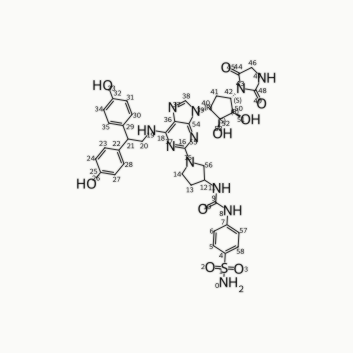 NS(=O)(=O)c1ccc(NC(=O)NC2CCN(c3nc(NCC(c4ccc(O)cc4)c4ccc(O)cc4)c4ncn([C@@H]5C[C@H](N6C(=O)CNC6=O)[C@@H](O)[C@H]5O)c4n3)C2)cc1